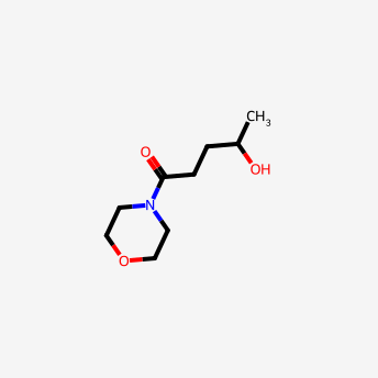 CC(O)CCC(=O)N1CCOCC1